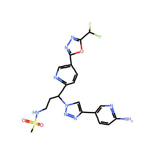 CS(=O)(=O)NCCC(c1ccc(-c2nnc(C(F)F)o2)cn1)n1cc(-c2ccc(N)nc2)nn1